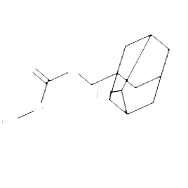 CC(C)(C)OC(=O)OCC12CC3CC(C1)C(O)C(C3)C2